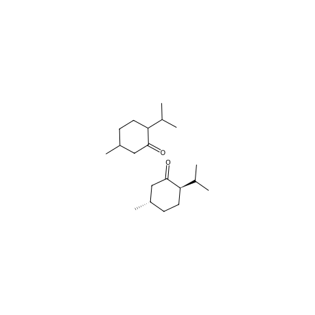 CC(C)[C@H]1CC[C@H](C)CC1=O.CC1CCC(C(C)C)C(=O)C1